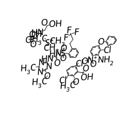 COc1c(Cl)ccc(Cl)c1C(=O)O.COc1nc(C)nc(NC(=O)NS(=O)(=O)c2ccccc2CCC(F)(F)F)n1.C[S+](C)C.Nc1c([N+](=O)[O-])ccc(Oc2ccccc2)c1Cl.O=C(O)CNCP(=O)([O-])O